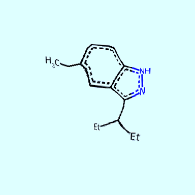 CCC(CC)c1n[nH]c2ccc(C)cc12